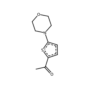 CC(=O)c1ccc(N2CCOCC2)s1